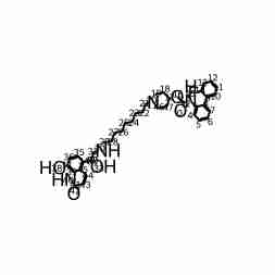 O=C(Nc1ccccc1-c1ccccc1F)OC1CCN(CCCCCCCCCNC[C@H](O)c2ccc(O)c3[nH]c(=O)ccc23)CC1